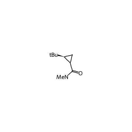 CNC(=O)C1C[C@@H]1C(C)(C)C